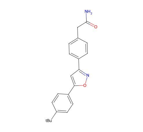 CC(C)(C)c1ccc(-c2cc(-c3ccc(CC(N)=O)cc3)no2)cc1